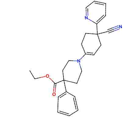 CCOC(=O)C1(c2ccccc2)CCN(C2=CCC(C#N)(c3ccccn3)CC2)CC1